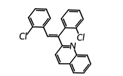 Clc1ccccc1/C=C(/c1ccc2ccccc2n1)c1ccccc1Cl